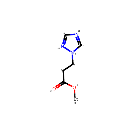 CCOC(=O)CCn1cncn1